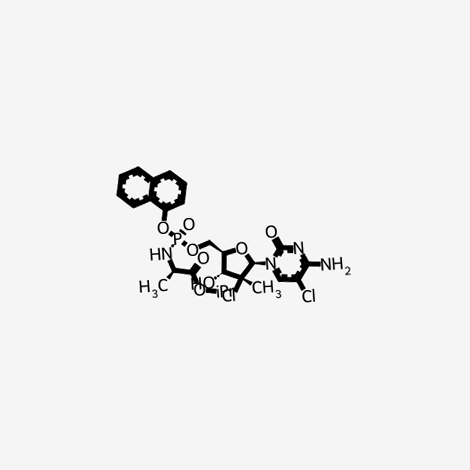 CC(C)OC(=O)[C@@H](C)N[P@](=O)(OC[C@H]1O[C@@H](n2cc(Cl)c(N)nc2=O)[C@](C)(Cl)[C@@H]1O)Oc1cccc2ccccc12